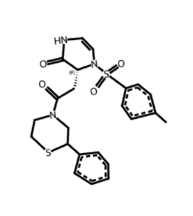 Cc1ccc(S(=O)(=O)N2C=CNC(=O)[C@H]2CC(=O)N2CCSC(c3ccccc3)C2)cc1